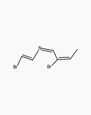 C\C=C(Br)/C=N\C=C\Br